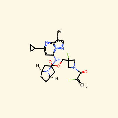 C=C(F)C(=O)N1CC(F)(COC(=O)N2[C@@H]3CC[C@H]2CC(Nc2cc(C4CC4)nc4c(C(C)C)cnn24)C3)C1